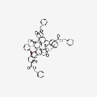 N#Cc1cccc(-c2cccc(-n3c4ccc(C(=O)OCc5ccccc5)cc4c4cc(C(=O)OCc5ccccc5)ccc43)c2-c2nc(-c3ccccc3)nc(-c3c(C#N)cccc3-n3c4ccc(C(=O)OCc5ccccc5)cc4c4cc(C(=O)OCc5ccccc5)ccc43)n2)c1